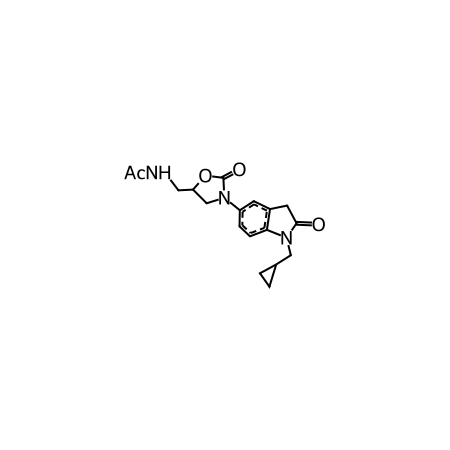 CC(=O)NCC1CN(c2ccc3c(c2)CC(=O)N3CC2CC2)C(=O)O1